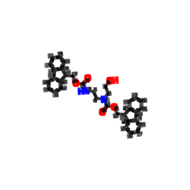 O=C(NCCN(CCO)C(=O)OCC1c2ccccc2-c2ccccc21)OCC1c2ccccc2-c2ccccc21